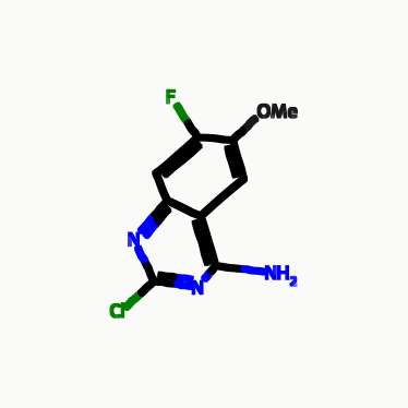 COc1cc2c(N)nc(Cl)nc2cc1F